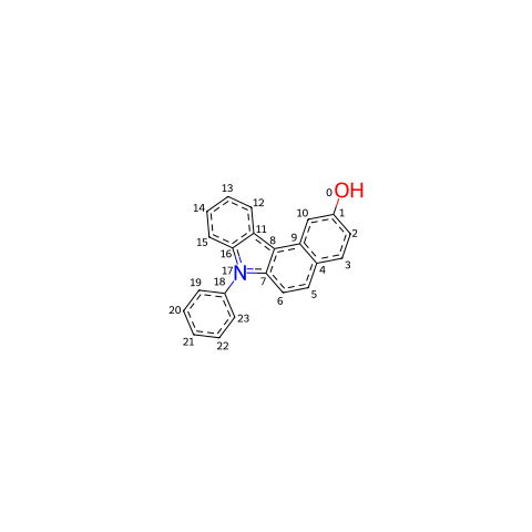 Oc1ccc2ccc3c(c2c1)c1ccccc1n3-c1ccccc1